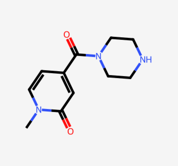 Cn1ccc(C(=O)N2CCNCC2)cc1=O